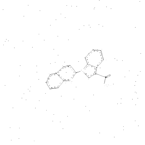 COC(=O)c1cn(-c2ccc3ccccc3n2)c2ccccc12